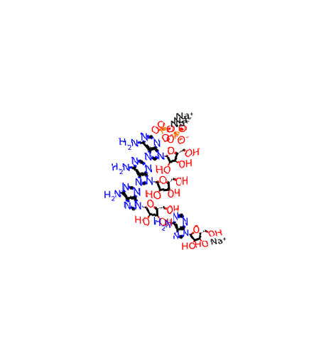 Nc1ncnc2c1ncn2[C@@H]1O[C@H](CO)[C@@H](O)[C@H]1O.Nc1ncnc2c1ncn2[C@@H]1O[C@H](CO)[C@@H](O)[C@H]1O.Nc1ncnc2c1ncn2[C@@H]1O[C@H](CO)[C@@H](O)[C@H]1O.Nc1ncnc2c1ncn2[C@@H]1O[C@H](CO)[C@@H](O)[C@H]1O.O=P([O-])([O-])OP(=O)([O-])[O-].[Na+].[Na+].[Na+].[Na+]